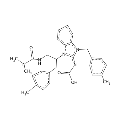 Cc1ccc(CC(CNC(=O)N(C)C)n2c(=NC(=O)O)n(Cc3ccc(C)cc3)c3ccccc32)cc1